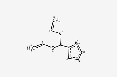 C=CSC(SC=C)c1ccc[se]1